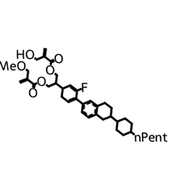 C=C(CO)C(=O)OCC(COC(=O)C(=C)COC)C1C=C(F)C(c2ccc3c(c2)CCC(C2CCC(CCCCC)CC2)C3)=CC1